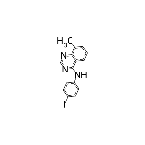 Cc1cccc2c(Nc3ccc(I)cc3)ncnc12